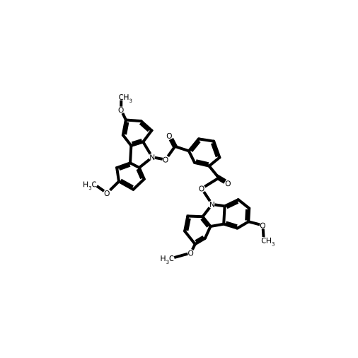 COc1ccc2c(c1)c1cc(OC)ccc1n2OC(=O)c1cccc(C(=O)On2c3ccc(OC)cc3c3cc(OC)ccc32)c1